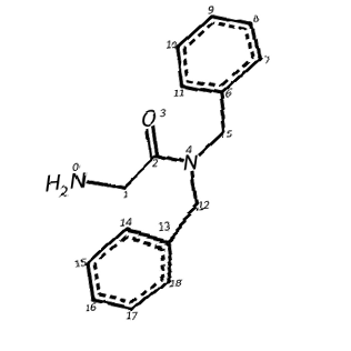 NCC(=O)N([CH]c1ccccc1)[CH]c1ccccc1